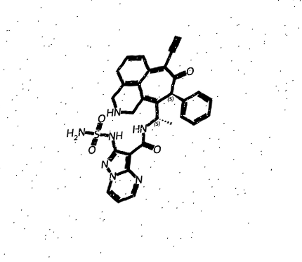 C#CC1=C2C=CCC3=C2C(=C([C@H](C)NC(=O)c2c(NS(N)(=O)=O)nn4cccnc24)[C@H](c2ccccc2)C1=O)CNC3